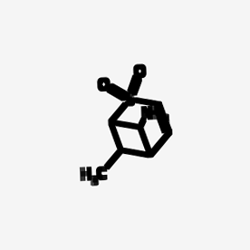 CC1C2C=CS(=O)(=O)C1C2N